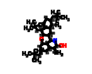 Bc1c(O)nc2c3c(cc(CC(C)(C)C)cc13)Oc1c-2cc2cc(CC(C)(C)C)ccc2c1CC(C)(C)C